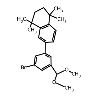 COC(OC)c1cc(Br)cc(-c2ccc3c(c2)C(C)(C)CCC3(C)C)c1